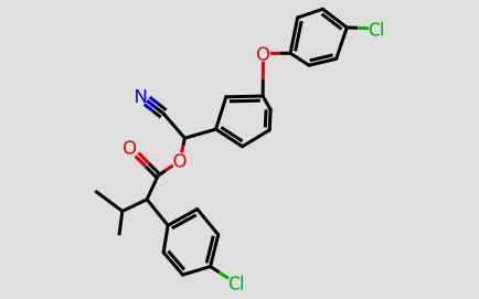 CC(C)C(C(=O)OC(C#N)c1cccc(Oc2ccc(Cl)cc2)c1)c1ccc(Cl)cc1